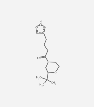 CC(C)(C)C1CN(C(=O)CCCc2nn[nH]n2)CCO1